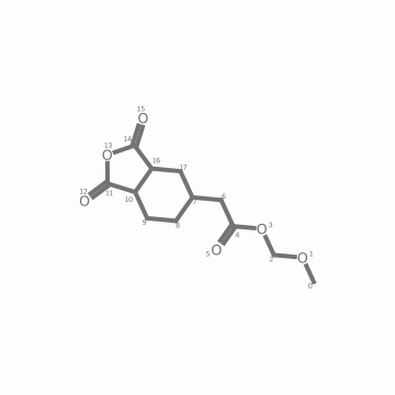 COCOC(=O)CC1CCC2C(=O)OC(=O)C2C1